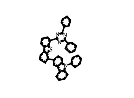 c1ccc(-c2nc(-c3ccccc3)nc(-c3cccc4c3sc3c(-c5ccc6c(c5)c5ccccc5n6-c5ccccc5)cccc34)n2)cc1